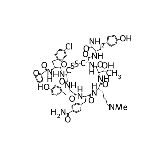 CNCCCC[C@@H]1NC(=O)[C@@H](Cc2ccc(C(N)=O)cc2)NC(=O)[C@H](Cc2ccc(O)cc2)NC(=O)[C@H](NC(=O)[C@H](Cc2ccc(Cl)cc2)NC(=O)c2ccco2)CSSC[C@@H](C(=O)N[C@H](CCc2ccc(O)cc2)C(N)=O)NC(=O)[C@H]([C@@H](C)O)NC1=O